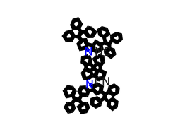 [C-]#[N+]c1ccc2c(c1)C1(c3cc(C#N)ccc3-2)c2cc(-n3c4ccc(C(=C(c5ccccc5)c5ccccc5)c5ccccc5)cc4c4cc(C(=C(c5ccccc5)c5ccccc5)c5ccccc5)ccc43)ccc2-c2ccc(-n3c4ccc(C(=C(c5ccccc5)c5ccccc5)c5ccccc5)cc4c4cc(C(=C(c5ccccc5)c5ccccc5)c5ccccc5)ccc43)cc21